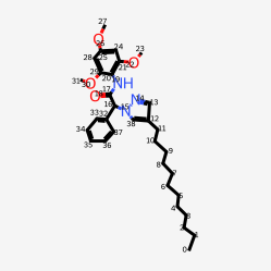 CCCCCCCCCCCCc1cnn(C(C(=O)Nc2c(OC)cc(OC)cc2OC)c2ccccc2)c1